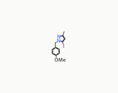 COc1ccc(Cn2nc(C)cc2I)cc1